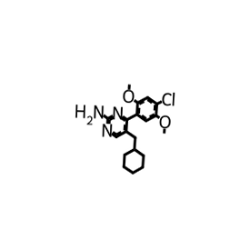 COc1cc(-c2nc(N)ncc2CC2CCCCC2)c(OC)cc1Cl